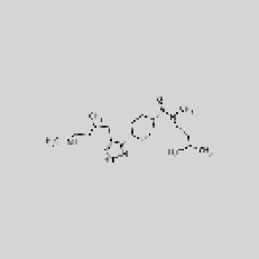 CNCCN(C)Cc1c[nH]nc1[C@H]1CC[C@@H](C(=O)N(C)CCC(C)C)CC1